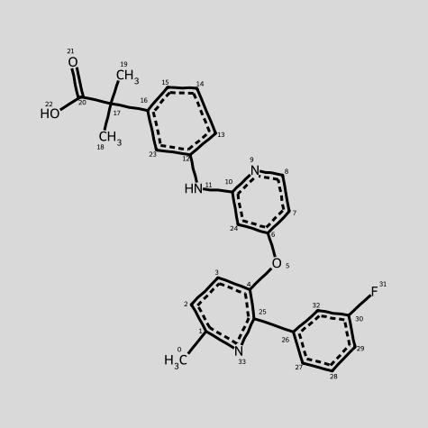 Cc1ccc(Oc2ccnc(Nc3cccc(C(C)(C)C(=O)O)c3)c2)c(-c2cccc(F)c2)n1